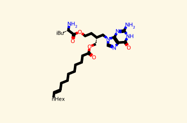 CCCCCC/C=C/CCCCCCCC(=O)OC[C@H](CCOC(=O)[C@@H](N)C(C)CC)Cn1cnc2c(=O)[nH]c(N)nc21